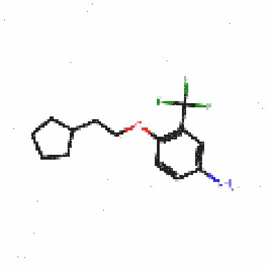 Nc1ccc(OCCC2CCCC2)c(C(F)(F)F)c1